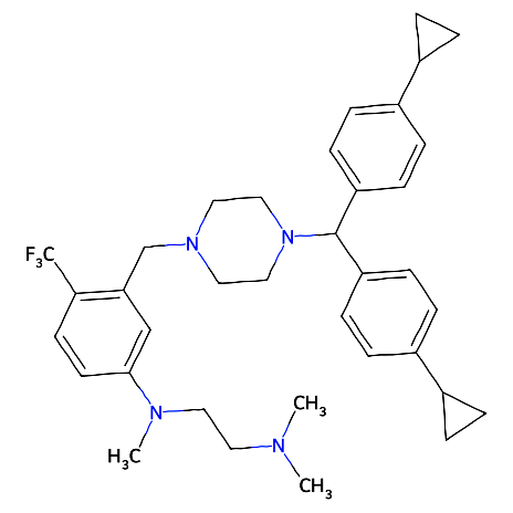 CN(C)CCN(C)c1ccc(C(F)(F)F)c(CN2CCN(C(c3ccc(C4CC4)cc3)c3ccc(C4CC4)cc3)CC2)c1